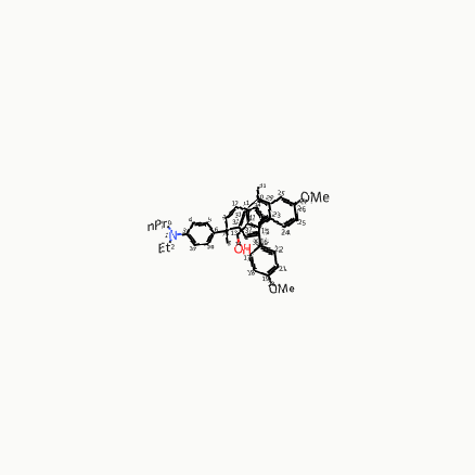 CCCN(CC)c1ccc(C(C)(/C=C\c2c(CO)c(-c3ccc(OC)cc3)c3ccc(OC)cc3c2C)c2ccccc2)cc1